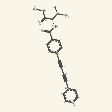 C[C@@H](N)[C@H](NC(=O)c1ccc(C#CC#Cc2ccncc2)cc1)C(=O)NO